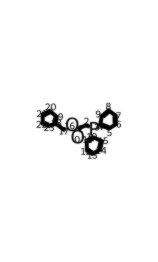 O=C(CP(c1ccccc1)c1ccccc1)OCc1ccccc1